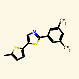 Cc1ccc(-c2cnc(-c3cc(C(F)(F)F)cc(C(F)(F)F)c3)s2)s1